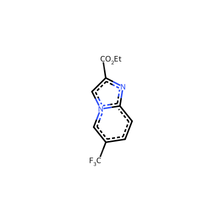 CCOC(=O)c1cn2cc(C(F)(F)F)ccc2n1